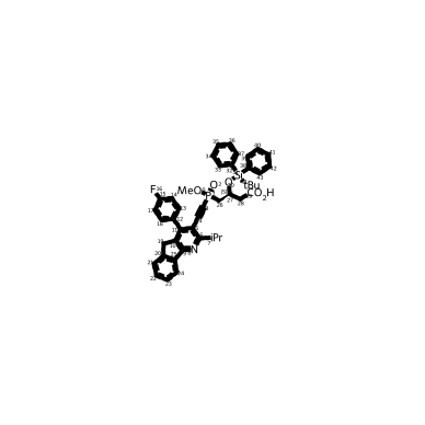 COP(=O)(C#Cc1c(C(C)C)nc2c(c1-c1ccc(F)cc1)Cc1ccccc1-2)C[C@H](CC(=O)O)O[Si](c1ccccc1)(c1ccccc1)C(C)(C)C